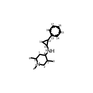 CC1CN(C)C(C)CC1NC1CC1c1ccccc1